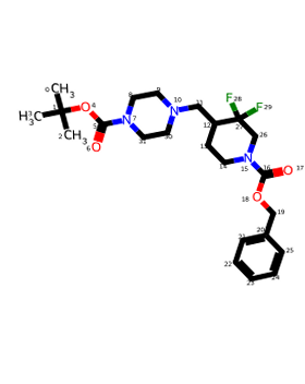 CC(C)(C)OC(=O)N1CCN(CC2CCN(C(=O)OCc3ccccc3)CC2(F)F)CC1